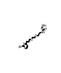 CC(C)(C)OC(=O)NCCOCCOCCCc1ccnc(Br)n1